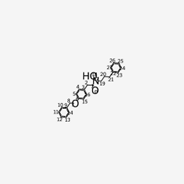 O=C(Cc1ccc(OCc2ccccc2)cc1)N(O)CCCc1ccccc1